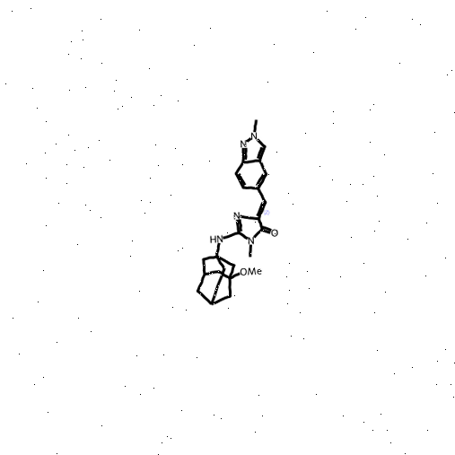 COC12CC3CC(CC(NC4=N/C(=C\c5ccc6nn(C)cc6c5)C(=O)N4C)(C3)C1)C2